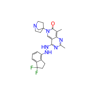 Cc1nc(NNc2cccc3c2CCC3(F)F)c2cn(C34CCN(CC3)C4)c(=O)c(C)c2n1